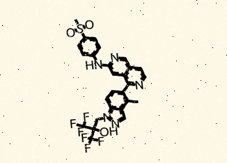 Cc1c(-c2nccc3cnc(Nc4ccc(S(C)(=O)=O)cc4)cc23)ccc2c1cnn2CC(O)(C(F)(F)F)C(F)(F)F